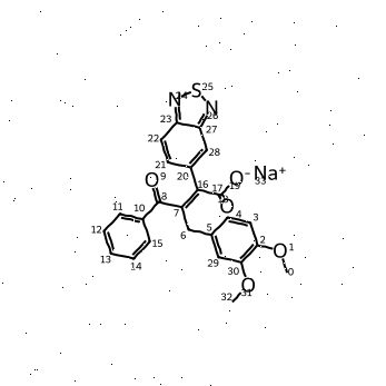 COc1ccc(CC(C(=O)c2ccccc2)=C(C(=O)[O-])c2ccc3nsnc3c2)cc1OC.[Na+]